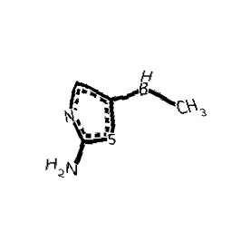 CBc1cnc(N)s1